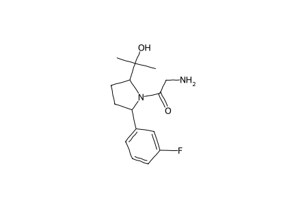 CC(C)(O)C1CCC(c2cccc(F)c2)N1C(=O)CN